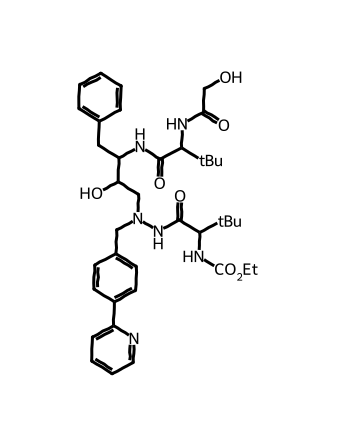 CCOC(=O)NC(C(=O)NN(Cc1ccc(-c2ccccn2)cc1)CC(O)C(Cc1ccccc1)NC(=O)C(NC(=O)CO)C(C)(C)C)C(C)(C)C